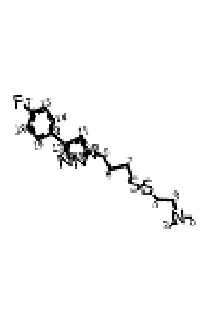 CN(C)CCSSCCCn1cc(-c2ccc(F)cc2)nn1